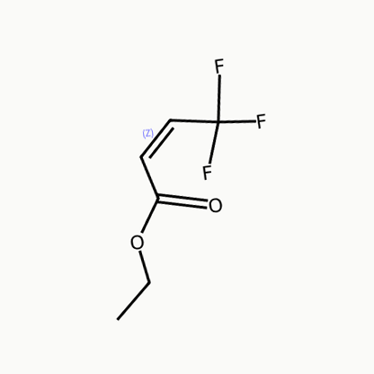 CCOC(=O)/C=C\C(F)(F)F